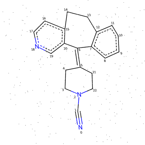 N#CN1CCC(=C2c3ccccc3CCc3ccncc32)CC1